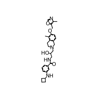 Cc1ncoc1COc1ccc2c(c1C)CCN(CC(O)CNC(=O)c1cccc(NC3CCC3)c1)C2